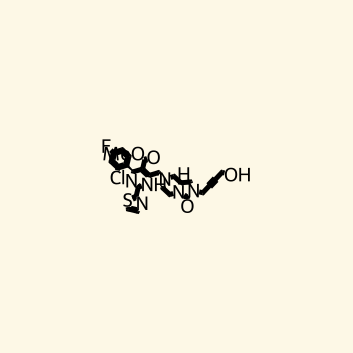 COC(=O)C1=C(CN2CCN3C(=O)N(CC#CCO)C[C@@H]3C2)NC(c2nccs2)=N[C@H]1c1ccc(F)cc1Cl